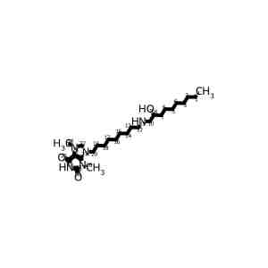 CCCCCCCCC(O)CNCCCCCCCCCN1CN(C)c2c1n(C)c(=O)[nH]c2=O